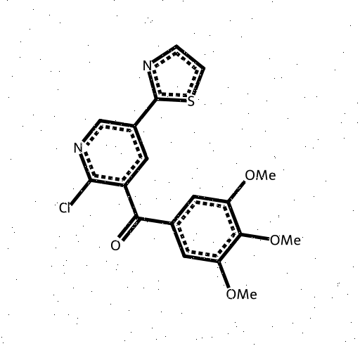 COc1cc(C(=O)c2cc(-c3nccs3)cnc2Cl)cc(OC)c1OC